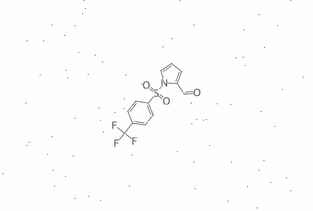 O=Cc1cccn1S(=O)(=O)c1ccc(C(F)(F)F)cc1